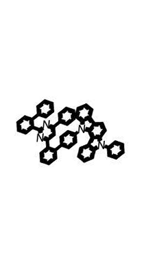 c1ccc(-c2cc(-c3ccccc3-c3ccc(-n4c5ccccc5c5ccc6c(c7ccccc7n6-c6ccccc6)c54)cc3)nc(-c3ccccc3-c3ccccc3)n2)cc1